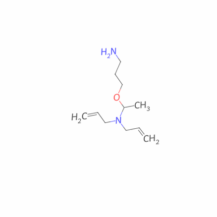 C=CCN(CC=C)C(C)OCCCN